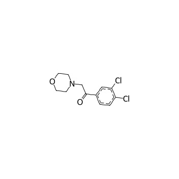 O=C(CN1CCOCC1)c1ccc(Cl)c(Cl)c1